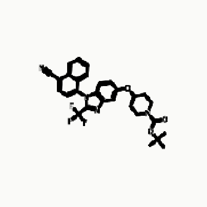 CC(C)(C)OC(=O)N1CCC(Oc2ccc3c(c2)nc(C(F)(F)F)n3-c2ccc(C#N)c3ccccc23)CC1